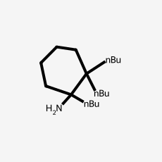 CCCCC1(N)CCCCC1(CCCC)CCCC